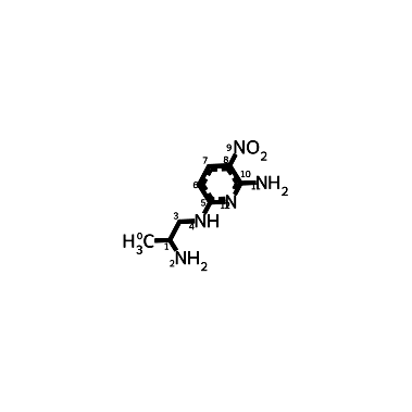 CC(N)CNc1ccc([N+](=O)[O-])c(N)n1